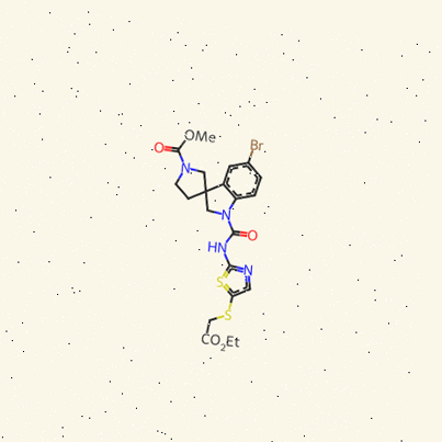 CCOC(=O)CSc1cnc(NC(=O)N2CC3(CCN(C(=O)OC)C3)c3cc(Br)ccc32)s1